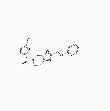 O=C(c1ccc(Cl)s1)N1CCc2nc(COc3ccccc3)oc2C1